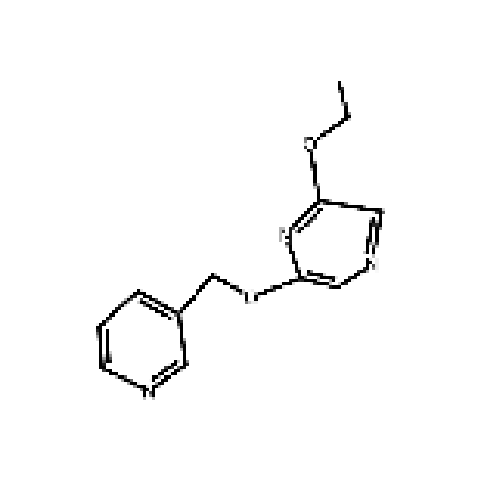 CCOc1cncc(OCc2cccnc2)n1